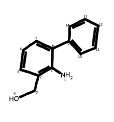 Nc1c(CO)cccc1-c1ccccc1